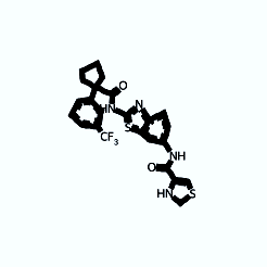 O=C(Nc1ccc2nc(NC(=O)C3(c4cccc(C(F)(F)F)c4)CCCC3)sc2c1)C1=CSCN1